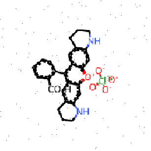 O=C(O)c1ccccc1-c1c2cc3c(cc2[o+]c2cc4c(cc12)CCCN4)NCCC3.[O-][Cl+3]([O-])([O-])[O-]